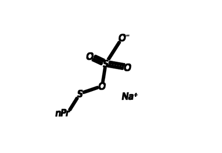 CCCSOS(=O)(=O)[O-].[Na+]